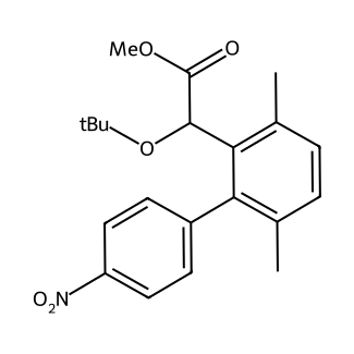 COC(=O)C(OC(C)(C)C)c1c(C)ccc(C)c1-c1ccc([N+](=O)[O-])cc1